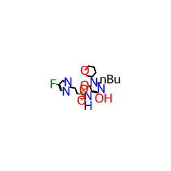 CCCCc1nc(O)c(NS(=O)(=O)CCc2ncc(F)cn2)c(=O)n1C1CCCOC1